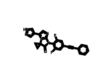 O=C1N(c2c(F)cc(C#Cc3ccccc3)cc2F)c2ncc(-c3cn[nH]c3)n2C12CC2